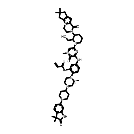 C=CC(=O)Nc1cc(Nc2nc(N3CCCC(N4CCn5c(cc6c5CC(C)(C)C6)C4=O)C3CO)cn(C)c2=O)ccc1N1CCN(C2CCN(c3ccc4c(c3)NC(=O)C4(C)C)CC2)C[C@@H]1C